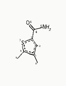 Cc1cc(C(N)=O)sc1C